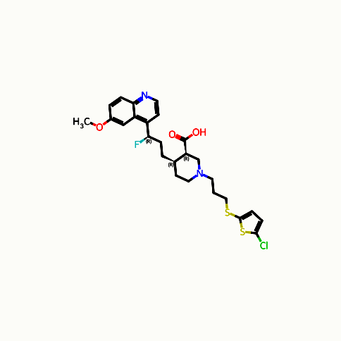 COc1ccc2nccc([C@H](F)CC[C@@H]3CCN(CCCSc4ccc(Cl)s4)C[C@@H]3C(=O)O)c2c1